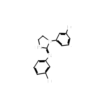 CCc1cccc(N=C2NCCN2c2cccc(CC)c2)c1